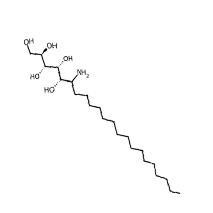 CCCCCCCCCCCCCCCCC(N)[C@H](O)[C@@H](O)[C@H](O)[C@H](O)CO